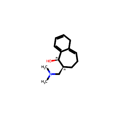 CN(C)C[C@@H]1CCC=C2CC=CC=C2[C@@H]1O